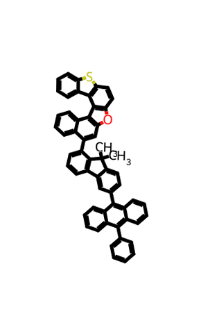 CC1(C)c2ccc(-c3c4ccccc4c(-c4ccccc4)c4ccccc34)cc2-c2cccc(-c3cc4oc5ccc6sc7ccccc7c6c5c4c4ccccc34)c21